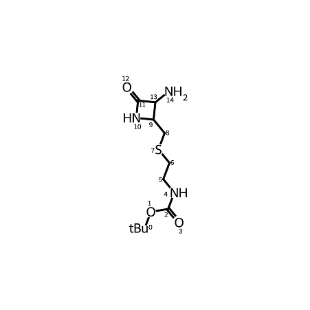 CC(C)(C)OC(=O)NCCSCC1NC(=O)C1N